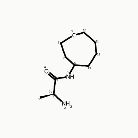 C[C@H](N)C(=O)NC1CCCCCCC1